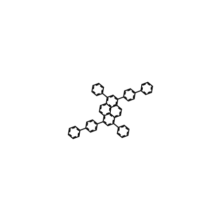 c1ccc(-c2ccc(-c3cc(-c4ccccc4)c4ccc5c(-c6ccc(-c7ccccc7)cc6)cc(-c6ccccc6)c6ccc3c4c65)cc2)cc1